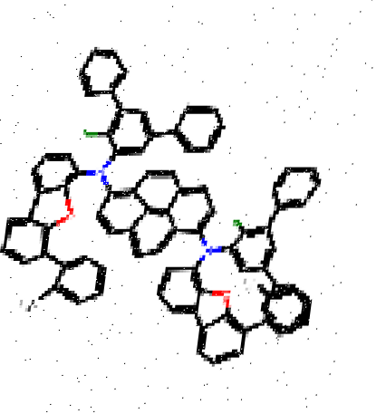 Cc1ccccc1-c1cccc2c1oc1c(N(c3cc(-c4ccccc4)cc(-c4ccccc4)c3F)c3ccc4ccc5c(N(c6cc(-c7ccccc7)cc(-c7ccccc7)c6F)c6cccc7c6oc6c(-c8ccccc8C)cccc67)ccc6ccc3c4c65)cccc12